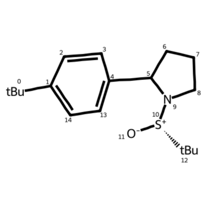 CC(C)(C)c1ccc(C2CCCN2[S@@+]([O-])C(C)(C)C)cc1